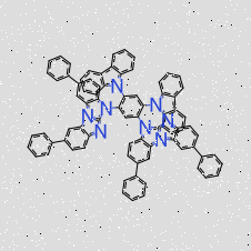 c1ccc(-c2ccc3nc4n(-c5cc(-n6c7ccc(-c8ccccc8)cc7n7c8cc(-c9ccccc9)ccc8nc67)c(-n6c7ccccc7c7ccccc76)cc5-n5c6ccccc6c6ccccc65)c5ccc(-c6ccccc6)cc5n4c3c2)cc1